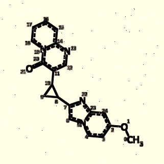 COc1ccn2cc(C3CC3c3cnc4ccccn4c3=O)nc2c1